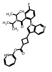 CC(C)N(C(=O)c1cc(F)ccc1-n1cc(C2CC(C(=O)OC3=CC=CC=CN3)C2)c2ccncc21)C(C)C